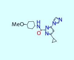 CO[C@H]1CC[C@H](NC(=O)c2nc(C3CC3)cc(-n3ccnc3)n2)CC1